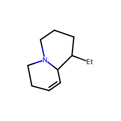 CCC1CCCN2CCC=CC12